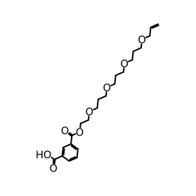 C=CCOCCCOCCCOCCCOCCOC(=O)c1cccc(C(=O)O)c1